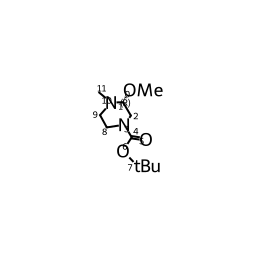 CO[C@@H]1CN(C(=O)OC(C)(C)C)CCN1C